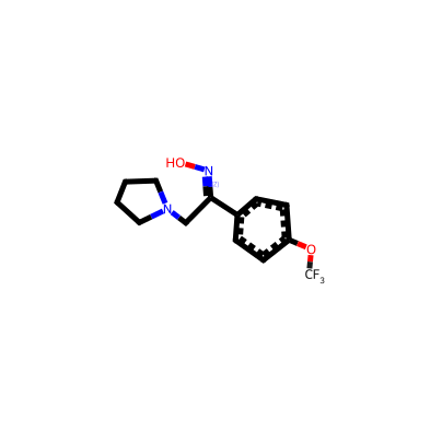 O/N=C(\CN1CCCC1)c1ccc(OC(F)(F)F)cc1